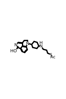 CC(=O)SCCCNC1CCC(N2CCc3cnc(O)c4cccc2c34)CC1